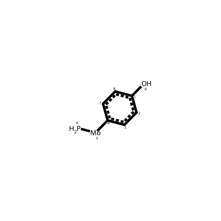 Oc1cc[c]([Mo][PH2])cc1